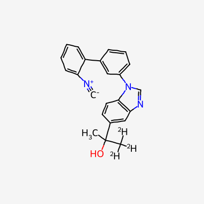 [2H]C([2H])([2H])C(C)(O)c1ccc2c(c1)ncn2-c1cccc(-c2ccccc2[N+]#[C-])c1